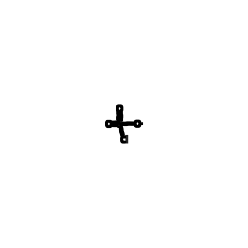 [O]S(=O)(=O)Cl